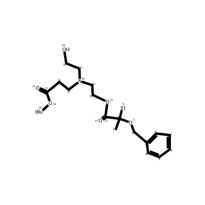 CCC(C)(OCc1ccccc1)C(=O)OCCN(CCO)CCC(=O)OC(C)(C)C